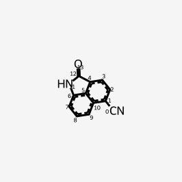 N#Cc1ccc2c3c(cccc13)NC2=O